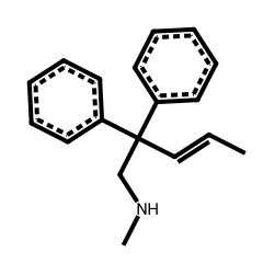 C/C=C/C(CNC)(c1ccccc1)c1ccccc1